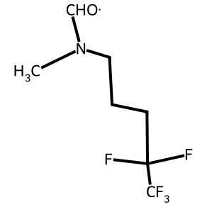 CN([C]=O)CCCC(F)(F)C(F)(F)F